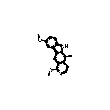 COc1ccc2[nH]c3c(C)c4ccnc(OC)c4cc3c2c1